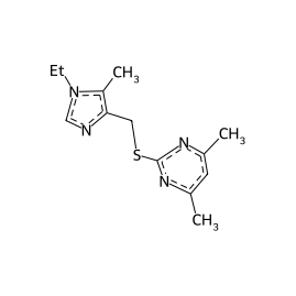 CCn1cnc(CSc2nc(C)cc(C)n2)c1C